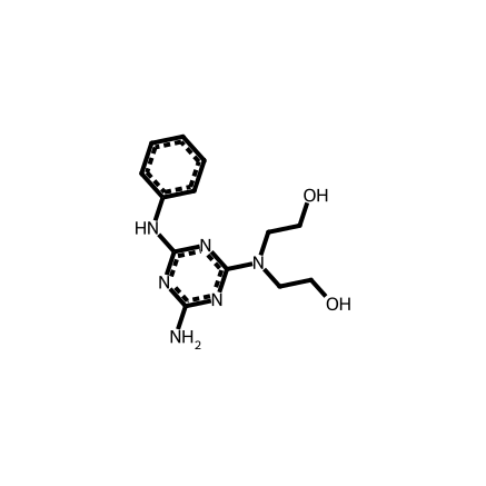 Nc1nc(Nc2ccccc2)nc(N(CCO)CCO)n1